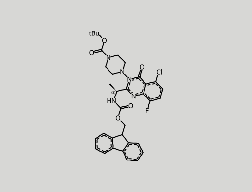 C[C@H](NC(=O)OCC1c2ccccc2-c2ccccc21)c1nc2c(F)ccc(Cl)c2c(=O)n1N1CCN(C(=O)OC(C)(C)C)CC1